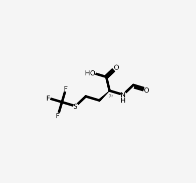 O=CN[C@@H](CCSC(F)(F)F)C(=O)O